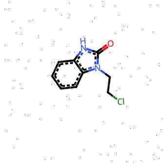 O=c1[nH]c2ccccc2n1CCCl